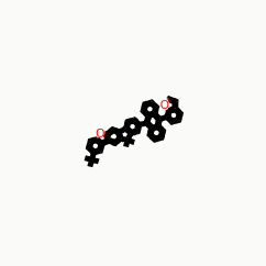 CC(C)(C)c1ccc2oc3cc4c(cc3c2c1)C(C)(C)c1cc(-c2c3ccccc3c(-c3cccc5ccoc35)c3ccccc23)ccc1-4